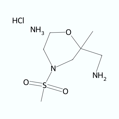 CC1(CN)CN(S(C)(=O)=O)CCO1.Cl.N